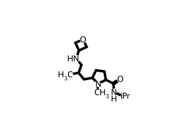 CC(CNC1COC1)CC1CCC(C(=O)NC(C)C)N1C